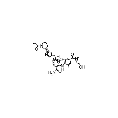 C=CC(=O)N1CCC[C@@H](n2cc(Nc3ncc(C(N)=O)c(Nc4c(C)cc(C(=O)N(C)CCO)cc4OC)n3)cn2)C1